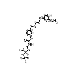 CCC(C)(CCNC(=O)Cn1cc(CCCCCc2c[nH]c(N)n2)nn1)CC(C)(C)C